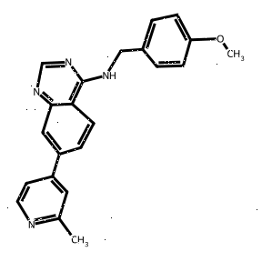 COc1ccc(CNc2ncnc3cc(-c4ccnc(C)c4)ccc23)cc1